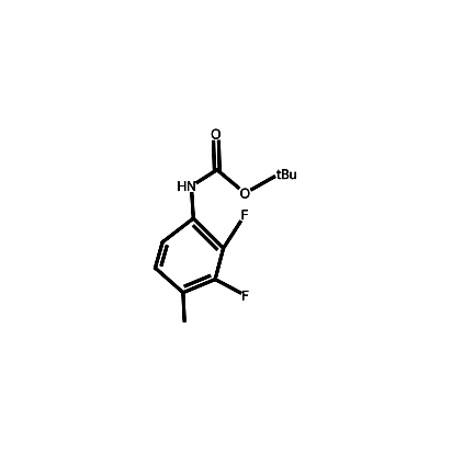 Cc1ccc(NC(=O)OC(C)(C)C)c(F)c1F